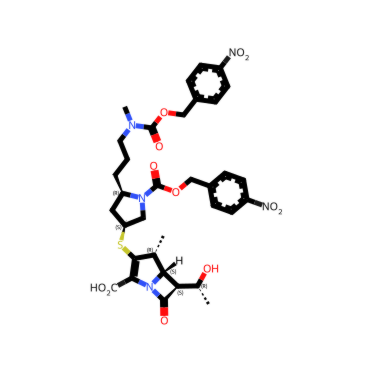 C[C@@H](O)[C@H]1C(=O)N2C(C(=O)O)=C(S[C@H]3C[C@@H](CCCN(C)C(=O)OCc4ccc([N+](=O)[O-])cc4)N(C(=O)OCc4ccc([N+](=O)[O-])cc4)C3)[C@H](C)[C@H]12